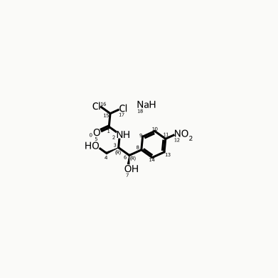 O=C(N[C@H](CO)[C@H](O)c1ccc([N+](=O)[O-])cc1)C(Cl)Cl.[NaH]